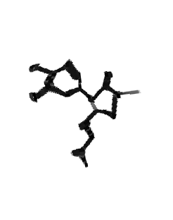 COCOC1CN(C)C(=O)N1c1ccc(Cl)c(Cl)c1